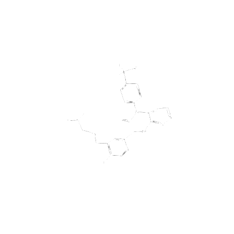 CN(C)CCCc1cc(CNc2ncccc2N(C=O)c2ccc(C(F)(F)F)cc2)ccc1F